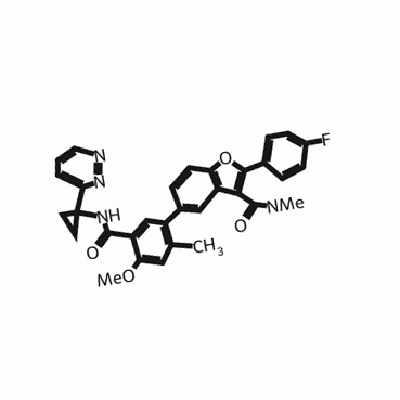 CNC(=O)c1c(-c2ccc(F)cc2)oc2ccc(-c3cc(C(=O)NC4(c5cccnn5)CC4)c(OC)cc3C)cc12